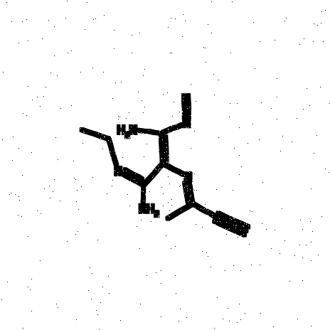 C#C/C(C)=N/C(=C(/N)N=C)C(/N)=N\CC